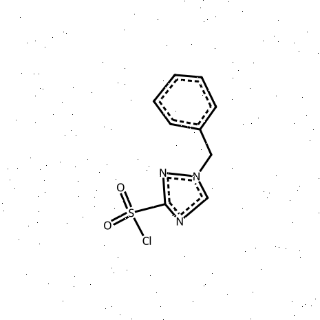 O=S(=O)(Cl)c1ncn(Cc2ccccc2)n1